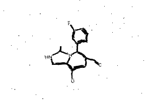 CC1NC=C2C(Cl)=CC(C=O)=C(c3cccc(F)c3)N21